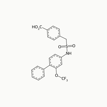 O=C(O)c1ccc(CS(=O)(=O)Nc2ccc(-c3ccccc3)c(OC(F)(F)F)c2)cc1